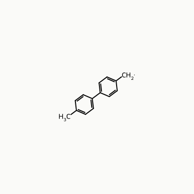 [CH2]c1ccc(-c2ccc(C)cc2)cc1